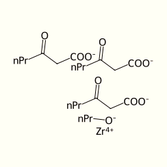 CCCC(=O)CC(=O)[O-].CCCC(=O)CC(=O)[O-].CCCC(=O)CC(=O)[O-].CCC[O-].[Zr+4]